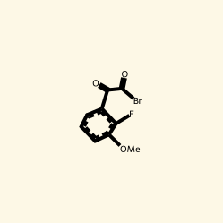 COc1cccc(C(=O)C(=O)Br)c1F